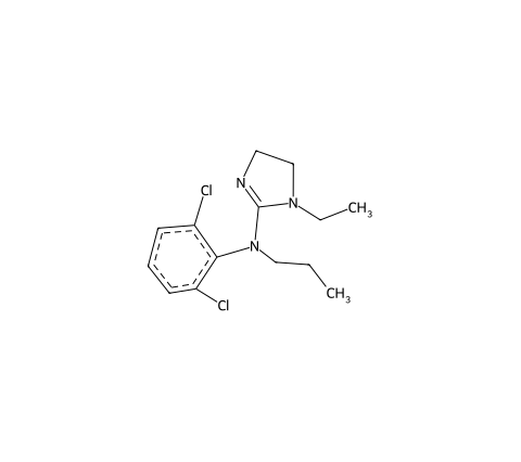 CCCN(C1=NCCN1CC)c1c(Cl)cccc1Cl